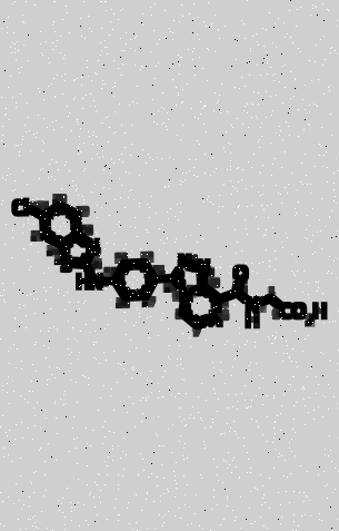 O=C(O)CNC(=O)c1nccn2c(-c3ccc(Nc4nc5ccc(Cl)cc5s4)cc3)nnc12